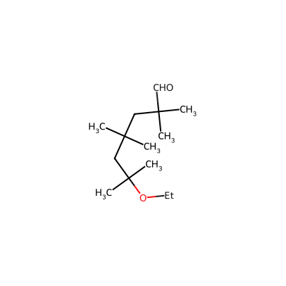 CCOC(C)(C)CC(C)(C)CC(C)(C)C=O